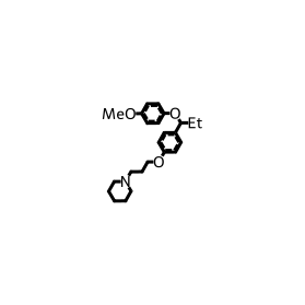 [CH2]CC(Oc1ccc(OC)cc1)c1ccc(OCCCN2CCCCC2)cc1